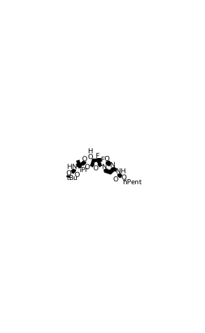 CCCCCOC(=O)Nc1ccn([C@@H]2O[C@H](OC(=O)C(C)(NC(=O)OC(C)(C)C)C(C)C)[C@@H](O)C2(F)F)c(=O)n1